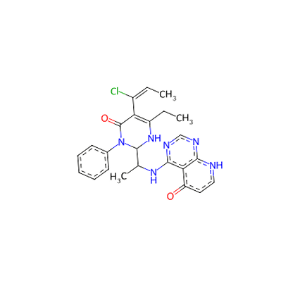 C/C=C(/Cl)C1=C(CC)NC(C(C)Nc2ncnc3[nH]ccc(=O)c23)N(c2ccccc2)C1=O